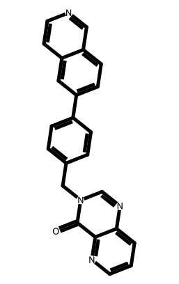 O=c1c2ncccc2ncn1Cc1ccc(-c2ccc3cnccc3c2)cc1